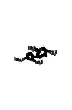 O=C(O)c1ccc(-c2ccc(C(=O)O)cc2S(=O)(=O)O)c(S(=O)(=O)O)c1